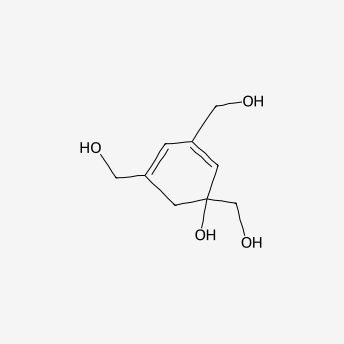 OCC1=CC(O)(CO)CC(CO)=C1